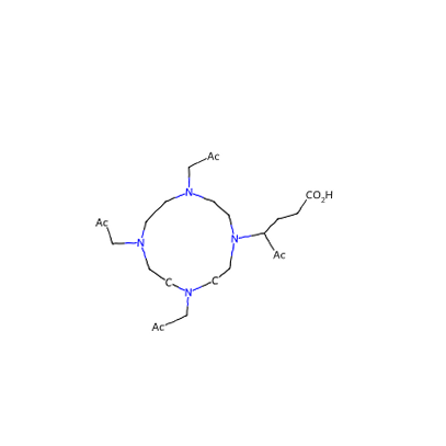 CC(=O)CN1CCN(CC(C)=O)CCN(C(CCC(=O)O)C(C)=O)CCN(CC(C)=O)CC1